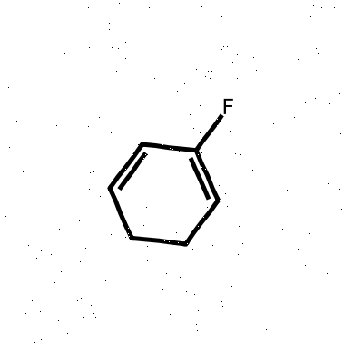 FC1=CCCC=C1